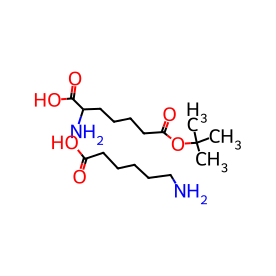 CC(C)(C)OC(=O)CCCCC(N)C(=O)O.NCCCCCC(=O)O